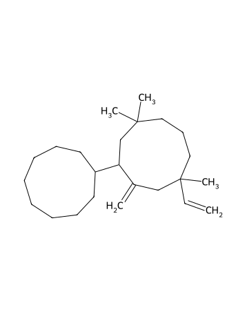 C=CC1(C)CCCC(C)(C)CC(C2CCCCCCCC2)C(=C)C1